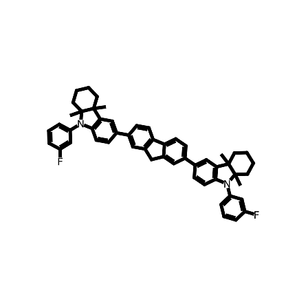 CC12CCCCC1(C)N(c1cccc(F)c1)c1ccc(-c3ccc4c(c3)Cc3cc(-c5ccc6c(c5)C5(C)CCCCC5(C)N6c5cccc(F)c5)ccc3-4)cc12